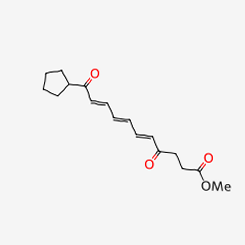 COC(=O)CCC(=O)C=CC=CC=CC(=O)C1CCCC1